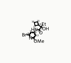 CCC(O)(C(=O)Nc1cc(Br)nc(OC)c1)C1CCC1